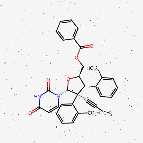 CC#C[C@@]1(c2ccccc2C(=O)O)[C@@H](c2ccccc2C(=O)O)[C@H](COC(=O)c2ccccc2)O[C@H]1n1ccc(=O)[nH]c1=O